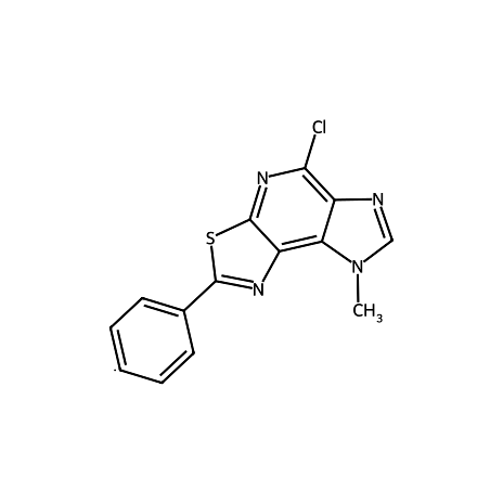 Cn1cnc2c(Cl)nc3sc(-c4cc[c]cc4)nc3c21